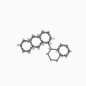 c1ccc2c(c1)CCCC2c1cccc2cc3ccccc3cc12